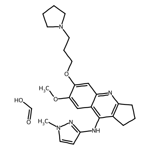 COc1cc2c(Nc3ccn(C)n3)c3c(nc2cc1OCCCN1CCCC1)CCC3.O=CO